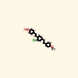 CC(C)Oc1ccc(/C=C/c2ccc(/C=C/c3ccc(O)cc3)c(Br)c2)cc1